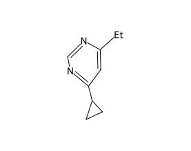 CCc1cc(C2CC2)ncn1